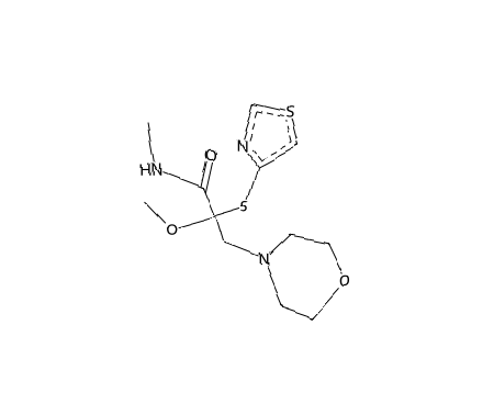 CNC(=O)C(CN1CCOCC1)(OC)Sc1cscn1